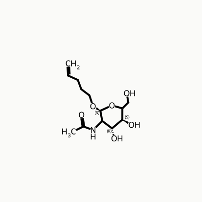 C=CCCCO[C@H]1OC(CO)[C@@H](O)[C@H](O)C1NC(C)=O